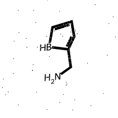 NCC1=CC=CB1